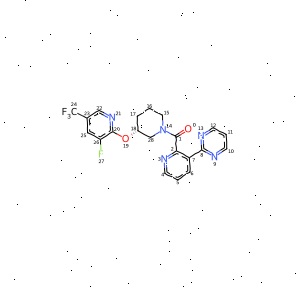 O=C(c1ncccc1-c1ncccn1)N1CCC[C@@H](Oc2ncc(C(F)(F)F)cc2F)C1